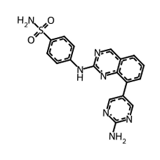 Nc1ncc(-c2cccc3cnc(Nc4ccc(S(N)(=O)=O)cc4)nc23)cn1